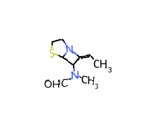 C/C=C1\C(N(C)C=O)C2SCCN12